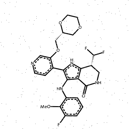 COc1c(F)cccc1Nc1c(-c2ccncc2OC[C@H]2COCCO2)[nH]c2c1C(=O)NC[C@H]2C(F)F